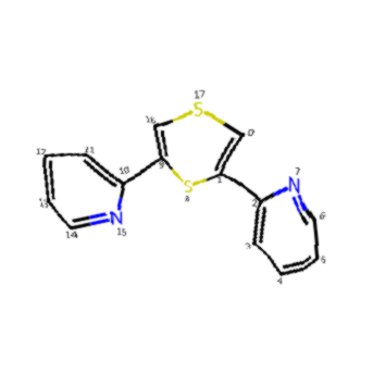 C1=C(c2ccccn2)SC(c2ccccn2)=CS1